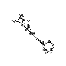 CC[C@H](C)[C@@H]1NC(=O)[C@H](CC(C)C)NC(=O)C(C)(C)NC(=O)CCSCc2cccc(c2)CSC[C@@H](C(=O)NCCCOCCOCCOCCCNC(=O)CCC(=O)N[C@@H](CCCCNC(=O)CN2CCN(CC(=O)O)CCN(CC(O)O)CCN(CC(=O)O)CC2)C(N)=O)NC1=O